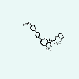 COc1ccc(-c2ccc(C3=C=CC(C)=C(C(=O)NCCC4CCCN4C)S3)cc2)cc1